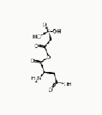 NC(CC(=O)O)C(=O)OC(=O)CP(=O)(O)O